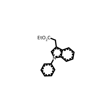 CCOC(=O)Cc1cn(-c2ccccc2)c2ccccc12